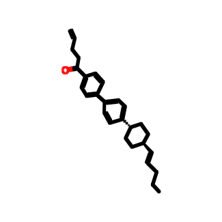 C=CCCC(=O)c1ccc(-c2ccc([C@H]3CC[C@H](/C=C/CCC)CC3)cc2)cc1